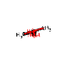 CCCCCCCCCCCCCCCC(=O)CC(O)(SP(=O)(O)OCC(O)CO)C(=O)CCCCCCCCCCCCCCC